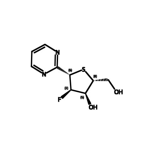 OC[C@H]1S[C@@H](c2ncccn2)[C@H](F)[C@@H]1O